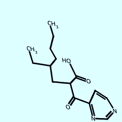 CCCCC(CC)CC(C(=O)O)C(=O)c1ccncn1